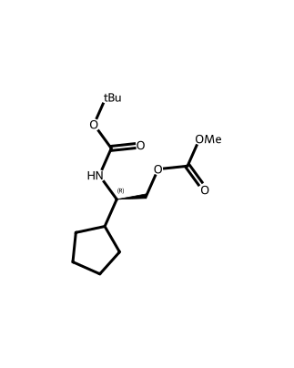 COC(=O)OC[C@H](NC(=O)OC(C)(C)C)C1CCCC1